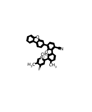 Cc1c[n+](C)c(-c2c(C)ccc3c2oc2c(-c4ccc5c(c4)oc4ccccc45)ccc(C#N)c23)cc1F